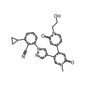 Cn1cc(-c2cnn(-c3cccc(C4CC4)c3C#N)c2)c(-c2ccn(CCO)c(=O)c2)cc1=O